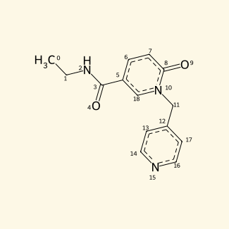 CCNC(=O)c1ccc(=O)n(Cc2ccncc2)c1